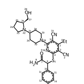 CCc1c(C#N)c(SC(C(N)=O)c2ccccc2)nc(N2CCC(N3CCC[C@H]3CO)CC2)c1C#N